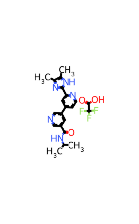 Cc1nc(-c2cc(-c3cncc(C(=O)NC(C)C)c3)ccn2)[nH]c1C.O=C(O)C(F)(F)F